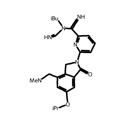 CCC(C)N(C=N)C(=N)c1cccc(N2Cc3c(CNC)cc(OC(C)C)cc3C2=O)n1